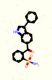 NS(=O)(=O)c1ccccc1C(=O)c1ccc2c(-c3ccccc3)c[nH]c2c1